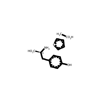 CC(=O)O.N[C@@H](Cc1ccc(O)cc1)C(=O)O.c1ccsc1